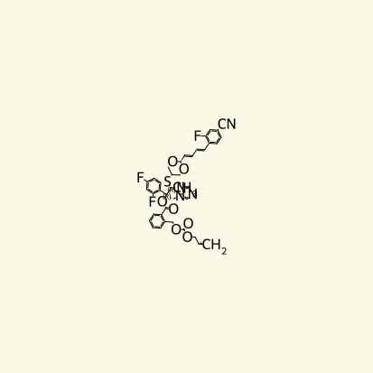 C=CCOC(=O)OCc1ccccc1C(=O)O[C@@](Cn1cncn1)(c1ccc(F)cc1F)[C@@H](C)S[C@H]1CO[C@H](C=CC=Cc2ccc(C#N)cc2F)OC1